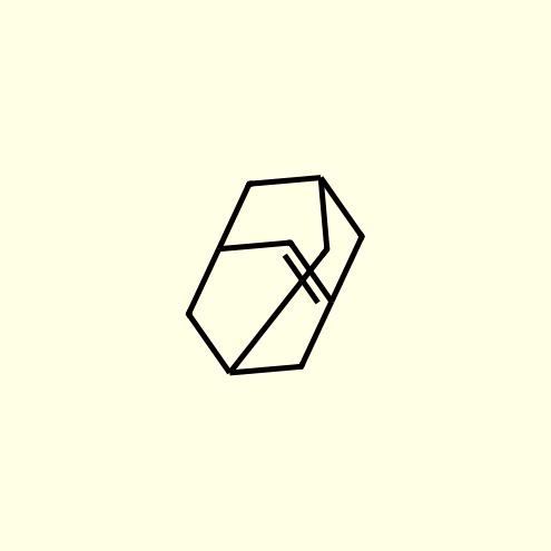 C1=C2CC3CC1CC(C2)C3